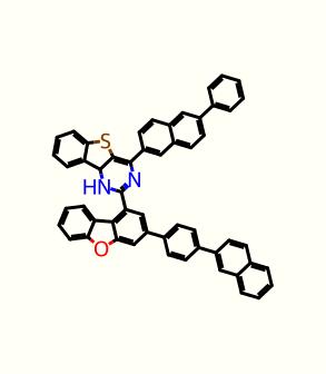 c1ccc(-c2ccc3cc(C4=C5Sc6ccccc6C5NC(c5cc(-c6ccc(-c7ccc8ccccc8c7)cc6)cc6oc7ccccc7c56)=N4)ccc3c2)cc1